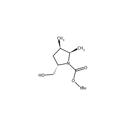 C[C@@H]1C[C@@H](CO)N(C(=O)OC(C)(C)C)[C@@H]1C